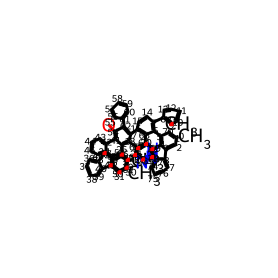 Cc1cc2c(c(-c3c(-c4ccccc4)ccc(-c4c(-c5ccccc5)c(-c5c(C)c(C)cc6c5Cc5ccccc5-6)c(-c5ccccc5-c5ccccc5)c5oc6ccccc6c45)c3-c3ccnnn3)c1C)Cc1ccccc1-2